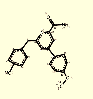 N#Cc1ccc(Cc2cc(-c3ccc(OC(F)(F)F)cc3)cc(C(N)=O)n2)cc1